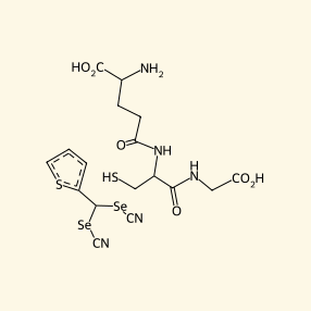 N#C[Se]C([Se]C#N)c1cccs1.NC(CCC(=O)NC(CS)C(=O)NCC(=O)O)C(=O)O